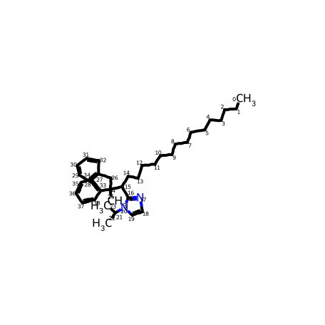 CCCCCCCCCCCCCCCC(c1nccn1C(C)C)C(C)(Cc1ccccc1)c1ccccc1